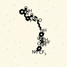 C[C@](O)(CS(=O)(=O)c1ccc(NCCCCCC(=O)N2CCN(C(=O)c3cc(Cc4n[nH]c(=O)c5ccccc45)ccc3F)CC2)cc1)C(=O)Nc1ccc(C#N)c(C(F)(F)F)c1